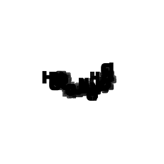 O=C(NCc1ccc2ccc(Cl)cc2c1)c1cncc(Cc2ccc(Cc3ccc[nH]c3=O)cc2)c1